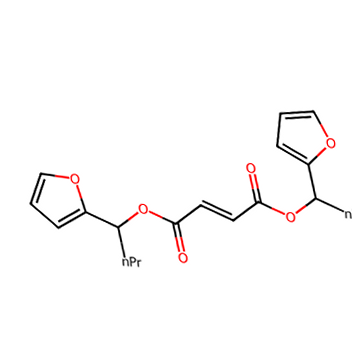 CCCC(OC(=O)/C=C/C(=O)OC(CCC)c1ccco1)c1ccco1